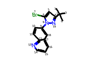 CC(C)(C)c1cc(Br)n(-c2ccc3ncccc3c2)n1